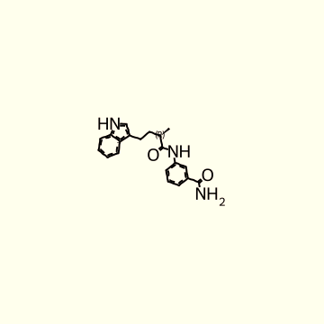 C[C@H](CCc1c[nH]c2ccccc12)C(=O)Nc1cccc(C(N)=O)c1